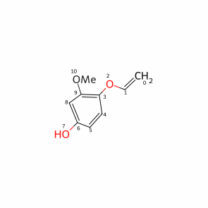 C=COc1ccc(O)cc1OC